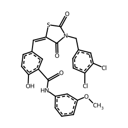 COc1cccc(NC(=O)c2cc(C=C3SC(=O)N(Cc4ccc(Cl)c(Cl)c4)C3=O)ccc2O)c1